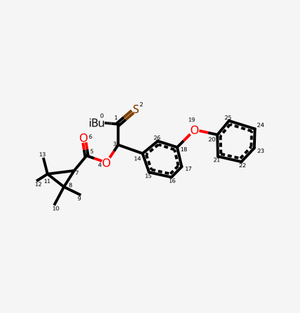 CCC(C)C(=S)C(OC(=O)C1C(C)(C)C1(C)C)c1cccc(Oc2ccccc2)c1